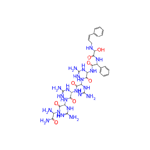 N=C(N)NC(NC(=O)C(NC(=N)N)NC(=O)C(NC(=N)N)NC(=O)C(NC(=N)N)NC(=O)C(NC(=O)C(O)NC/C=C\c1ccccc1)c1ccccc1)C(=O)NC(N)C(N)=O